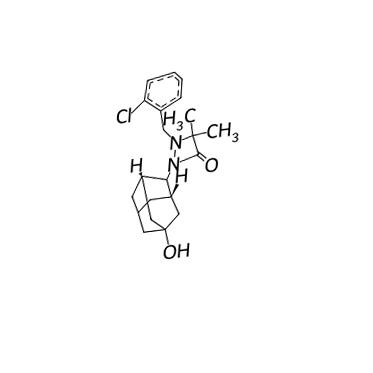 CC1(C)C(=O)N(C2[C@H]3CC4C[C@H]2CC(O)(C4)C3)N1Cc1ccccc1Cl